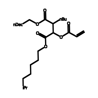 C=CC(=O)OC(C(=O)OCCCCCC(C)C)C(CCCC)C(=O)OCCCCCCCCCCC